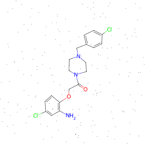 Nc1cc(Cl)ccc1OCC(=O)N1CCN(Cc2ccc(Cl)cc2)CC1